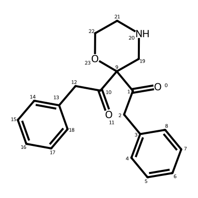 O=C(Cc1ccccc1)C1(C(=O)Cc2ccccc2)CNCCO1